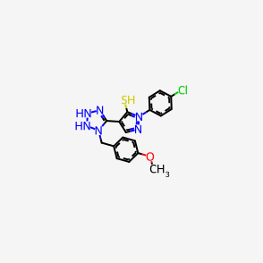 COc1ccc(CN2NNN=C2c2cnn(-c3ccc(Cl)cc3)c2S)cc1